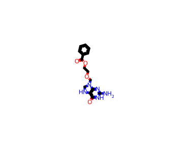 Nc1nc2c(c(=O)[nH]1)NCN2COCCOC(=O)c1ccccc1